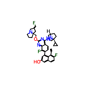 C#Cc1c(F)ccc2cc(O)cc(-c3ccc4c(N5C[C@@H]6CC[C@](C7CC7)(C5)N6)nc(OC[C@@]56CCCN5C/C(=C\F)C6)nc4c3F)c12